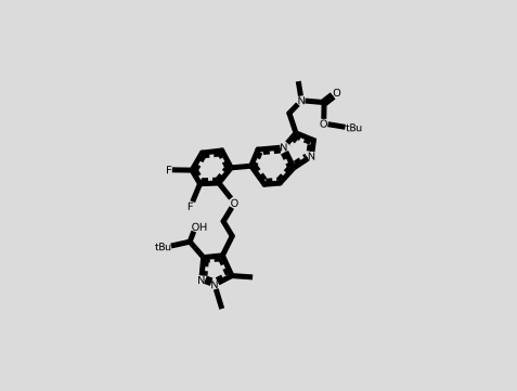 Cc1c(CCOc2c(-c3ccc4ncc(CN(C)C(=O)OC(C)(C)C)n4c3)ccc(F)c2F)c(C(O)C(C)(C)C)nn1C